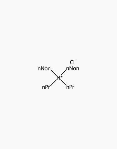 CCCCCCCCC[N+](CCC)(CCC)CCCCCCCCC.[Cl-]